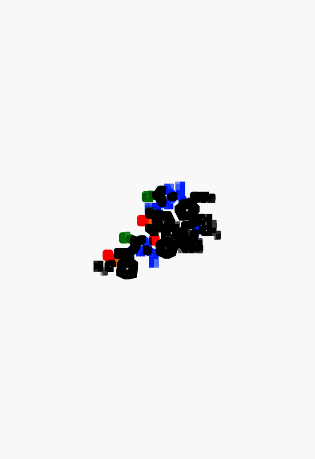 CNC(C)(C)c1ccc(Nc2ncc(Cl)c(Nc3ccccc3P(C)(C)=O)n2)c(OCCP(C)(=O)c2ccccc2Nc2nc(Nc3ccc(C(C)(C)N(C)C)cc3OC)ncc2Cl)c1